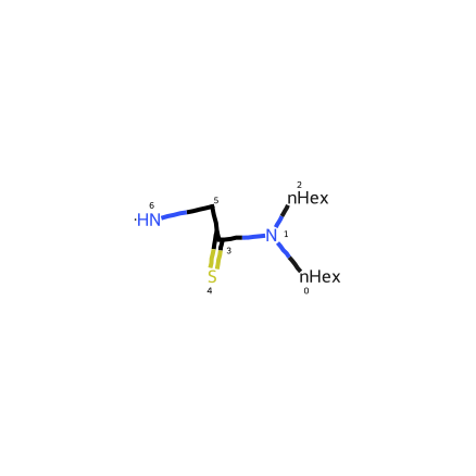 CCCCCCN(CCCCCC)C(=S)C[NH]